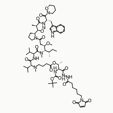 CC[C@H](C)[C@@H]([C@@H](CC(=O)N1CCC[C@H]1[C@H](OC)[C@@H](C)C(=O)N[C@@H](Cc1c[nH]c2ccccc12)C(=O)N1CCCCO1)OC)N(C)C(=O)[C@@H](NC(=O)[C@H](C(C)C)N(C)CCCC(=O)O[C@H](C)[C@H](NC(=O)OC(C)(C)C)C(=O)NNC(=O)CCCCCN1C(=O)C=CC1=O)C(C)C